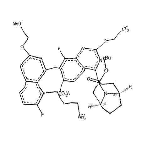 COCOc1cc(-c2c(C(=O)O)cc3c(N4C[C@H]5CC[C@@H](C4)N5C(=O)OC(C)(C)C)nc(OCC(F)(F)F)nc3c2F)c2c(CCCN)c(F)ccc2c1